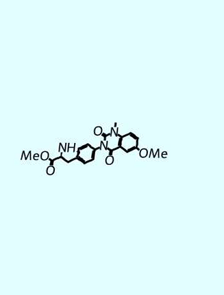 COC(=O)[C@@H](N)Cc1ccc(-n2c(=O)c3cc(OC)ccc3n(C)c2=O)cc1